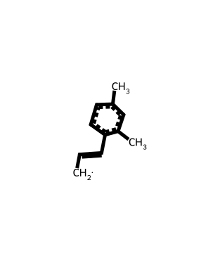 [CH2]C=Cc1ccc(C)cc1C